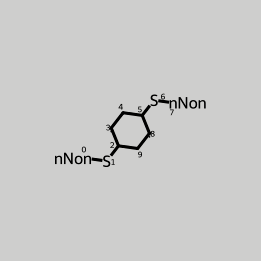 CCCCCCCCCSC1[CH]CC(SCCCCCCCCC)[CH]C1